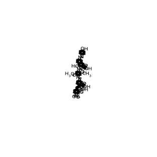 COc1cc(N=Nc2c(S(=O)(=O)O)cc3cc(N=Nc4ccc(O)cc4)ccc3c2O)c(OC)cc1N=Nc1ccc(C=Cc2ccc([N+](=O)[O-])cc2S(=O)(=O)O)c(S(=O)(=O)O)c1